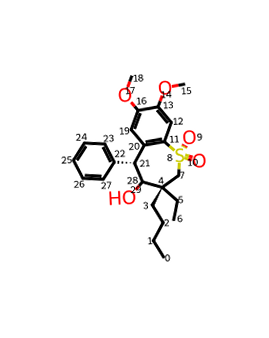 CCCC[C@]1(CC)CS(=O)(=O)c2cc(OC)c(OC)cc2[C@@H](c2ccccc2)C1O